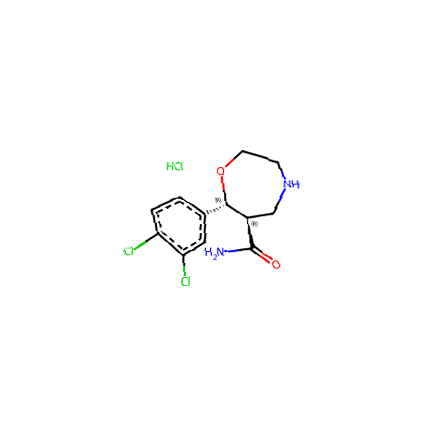 Cl.NC(=O)[C@@H]1CNCCO[C@H]1c1ccc(Cl)c(Cl)c1